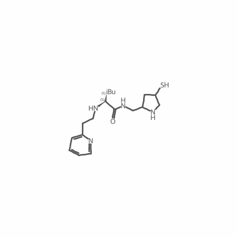 CC[C@H](C)[C@H](NCCc1ccccn1)C(=O)NCC1CC(S)CN1